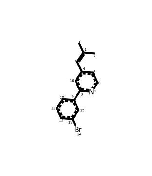 CC(C)=Cc1ccnc(-c2cccc(Br)c2)c1